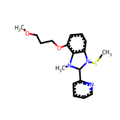 COCCCOc1cccc2c1N(C)C(c1ccccn1)N2SC